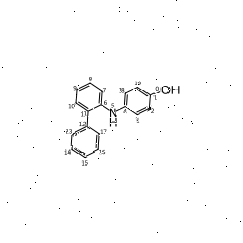 Oc1ccc(Nc2ccccc2-c2ccccc2)cc1